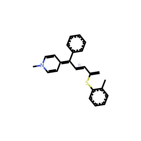 C=C(/C=C/C(=C1C=CN(C)C=C1)c1ccccc1)Sc1ccccc1C